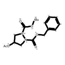 CC(=O)OC1CN(C(=O)OCc2ccccc2)N(C(=O)OC(C)(C)C)C1